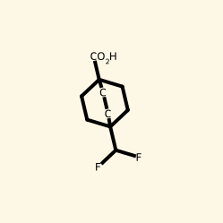 O=C(O)C12CCC(C(F)F)(CC1)CC2